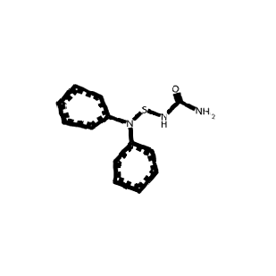 NC(=O)NSN(c1ccccc1)c1ccccc1